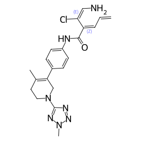 C=C/C=C(C(=O)Nc1ccc(C2=C(C)CCN(c3nnn(C)n3)C2)cc1)\C(Cl)=C/N